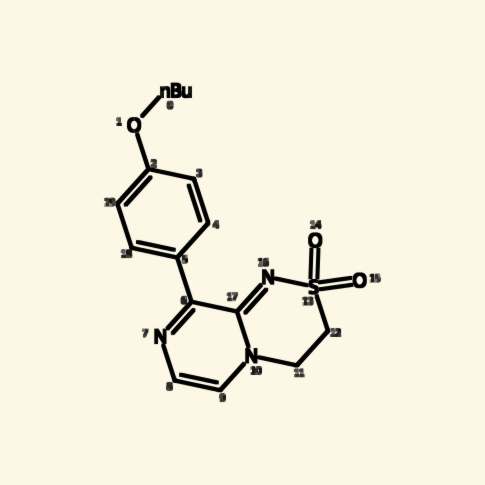 CCCCOc1ccc(C2=NC=CN3CCS(=O)(=O)N=C23)cc1